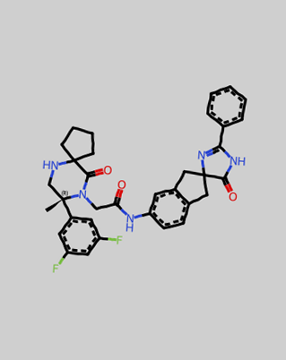 C[C@@]1(c2cc(F)cc(F)c2)CNC2(CCCC2)C(=O)N1CC(=O)Nc1ccc2c(c1)CC1(C2)N=C(c2ccccc2)NC1=O